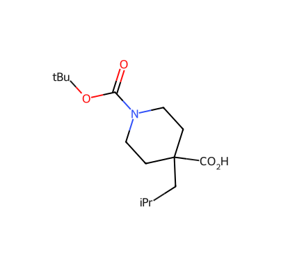 CC(C)CC1(C(=O)O)CCN(C(=O)OC(C)(C)C)CC1